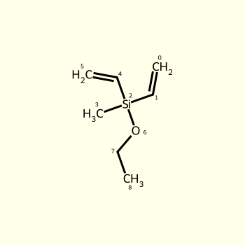 C=C[Si](C)(C=C)OCC